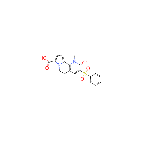 Cn1c2c(cc(S(=O)(=O)c3ccccc3)c1=O)CCn1c(C(=O)O)ccc1-2